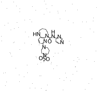 CS(=O)(=O)N1CCCN(c2ccc3c(n2)N(C(=O)Nc2ccncn2)CCCCN3)CC1